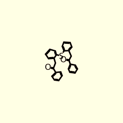 O=C(Cc1ccccc1Sc1ccccc1CC(=O)c1ccccc1)c1ccccc1